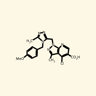 COc1ccc(Cn2c(C)nnc2Cn2nc(C)c3c(Cl)c(C(=O)O)cnc32)cc1